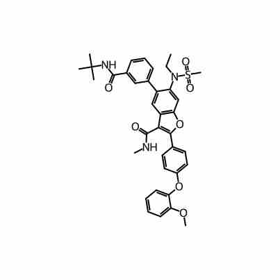 CCN(c1cc2oc(-c3ccc(Oc4ccccc4OC)cc3)c(C(=O)NC)c2cc1-c1cccc(C(=O)NC(C)(C)C)c1)S(C)(=O)=O